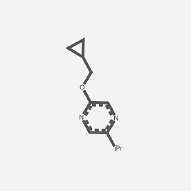 CC(C)c1cnc(OCC2CC2)cn1